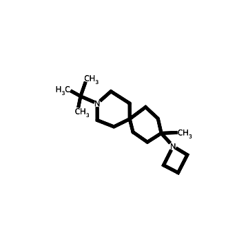 CC(C)(C)N1CCC2(CC1)CCC(C)(N1CCC1)CC2